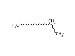 [CH2]CCC=CC(C)CCCCCCCCCCCC[CH2]